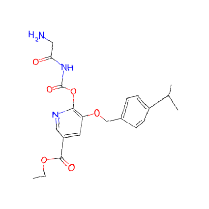 CCOC(=O)c1cnc(OC(=O)NC(=O)CN)c(OCc2ccc(C(C)C)cc2)c1